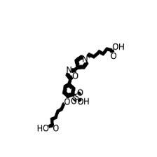 O=C(O)CCCCCOc1ccc(-c2cnc(-c3cc[n+](CCCCCC(=O)O)cc3)o2)cc1S(=O)(=O)O